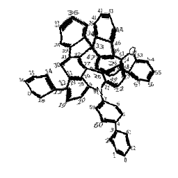 c1ccc(-c2ccc(N(c3ccc(-c4ccccc4)cc3)c3ccccc3-c3cccc4c3C3(c5ccccc5-4)c4ccccc4-c4c3ccc3c4oc4ccccc43)cc2)cc1